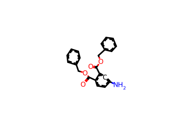 Nc1ccc(C(=O)OCc2ccccc2)c(C(=O)OCc2ccccc2)c1